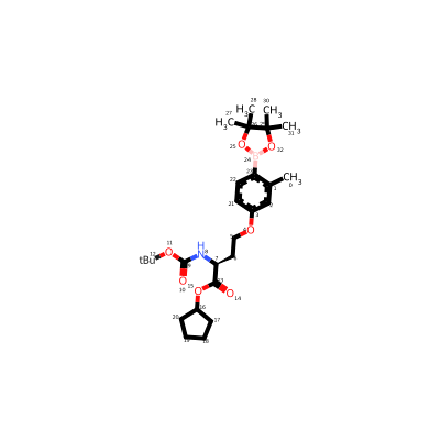 Cc1cc(OCC[C@H](NC(=O)OC(C)(C)C)C(=O)OC2CCCC2)ccc1B1OC(C)(C)C(C)(C)O1